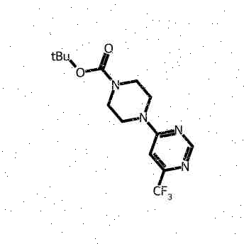 CC(C)(C)OC(=O)N1CCN(c2cc(C(F)(F)F)ncn2)CC1